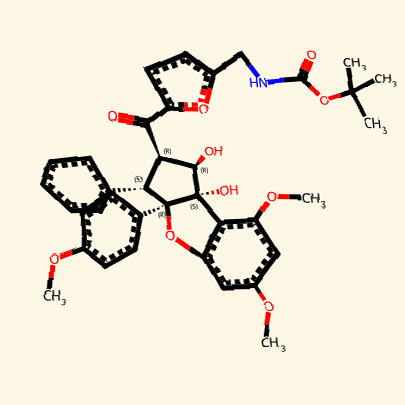 COc1ccc([C@@]23Oc4cc(OC)cc(OC)c4[C@]2(O)[C@H](O)[C@H](C(=O)c2ccc(CNC(=O)OC(C)(C)C)o2)[C@H]3c2ccccc2)cc1